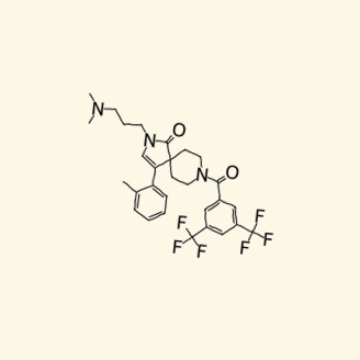 Cc1ccccc1C1=CN(CCCN(C)C)C(=O)C12CCN(C(=O)c1cc(C(F)(F)F)cc(C(F)(F)F)c1)CC2